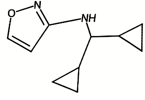 c1cc(NC(C2CC2)C2CC2)no1